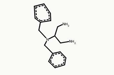 NCC(CN)N(Cc1ccccc1)Cc1ccccc1